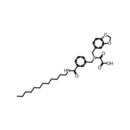 CCCCCCCCCCCCNC(=O)c1cccc(CN(Cc2ccc3c(c2)OCO3)C(=O)C(=O)O)c1